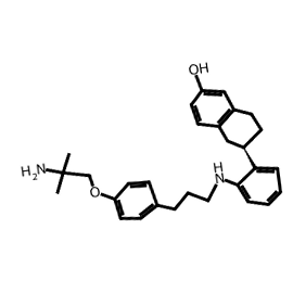 CC(C)(N)COc1ccc(CCCNc2ccccc2[C@@H]2CCc3cc(O)ccc3C2)cc1